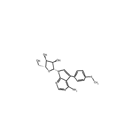 CSc1ccc(-c2cn([C@@H]3O[C@H](CO)[C@@H](O)[C@H]3O)c3ncnc(N)c23)cc1